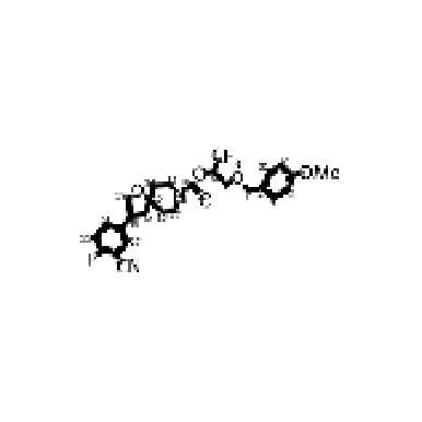 COc1ccc(COCC(OC(=O)N2CCC3(CC2)CC(c2ccc(F)c(C#N)c2)CO3)C(F)(F)F)cc1